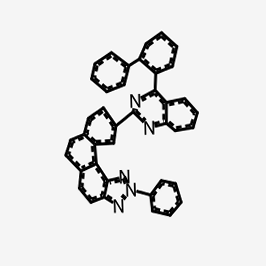 c1ccc(-c2ccccc2-c2nc(-c3ccc4ccc5ccc6nn(-c7ccccc7)nc6c5c4c3)nc3ccccc23)cc1